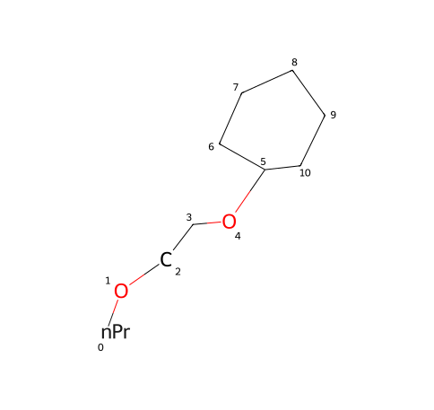 [CH2]CCOCCOC1CCCCC1